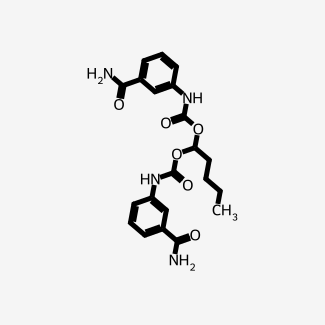 CCCCC(OC(=O)Nc1cccc(C(N)=O)c1)OC(=O)Nc1cccc(C(N)=O)c1